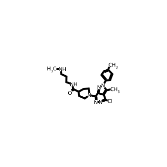 CNCCCNC(=O)C1CCN(c2nnc(Cl)c3c(C)n(-c4ccc(C)cc4)nc23)CC1